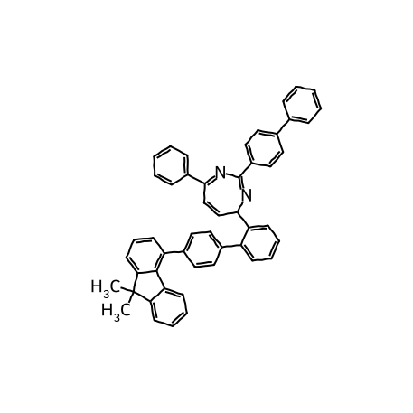 CC1(C)c2ccccc2-c2c(-c3ccc(-c4ccccc4C4C=CC(c5ccccc5)=NC(c5ccc(-c6ccccc6)cc5)=N4)cc3)cccc21